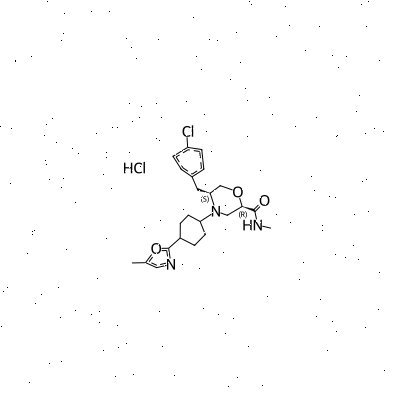 CNC(=O)[C@H]1CN(C2CCC(c3ncc(C)o3)CC2)[C@@H](Cc2ccc(Cl)cc2)CO1.Cl